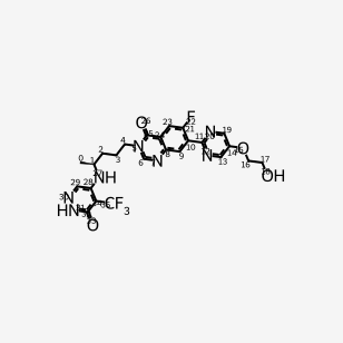 C[C@@H](CCCn1cnc2cc(-c3ncc(OCCO)cn3)c(F)cc2c1=O)Nc1cn[nH]c(=O)c1C(F)(F)F